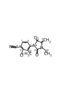 C=C1C(=O)N(c2ccc(C#N)c(Cl)c2C)C(=O)N1CC